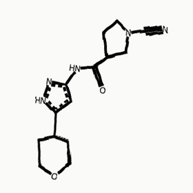 N#CN1CCC(C(=O)Nc2cc(C3CCOCC3)[nH]n2)C1